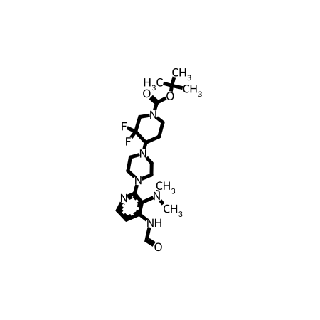 CN(C)c1c(NC=O)ccnc1N1CCN(C2CCN(C(=O)OC(C)(C)C)CC2(F)F)CC1